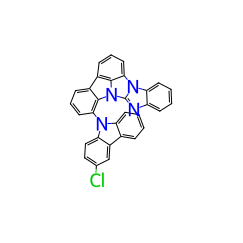 Clc1ccc2c(c1)c1ccccc1n2-c1cccc2c3cccc4c3n(c12)c1nc2ccccc2n41